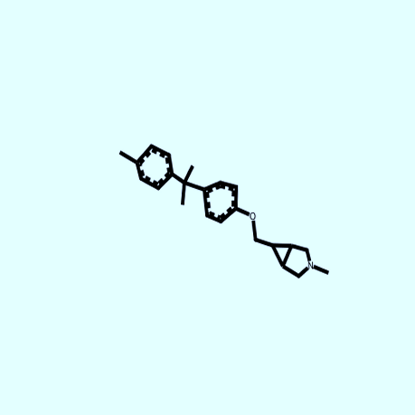 Cc1ccc(C(C)(C)c2ccc(OCC3C4CN(C)CC34)cc2)cc1